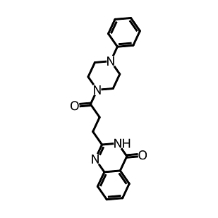 O=C(CCc1nc2ccccc2c(=O)[nH]1)N1CCN(c2ccccc2)CC1